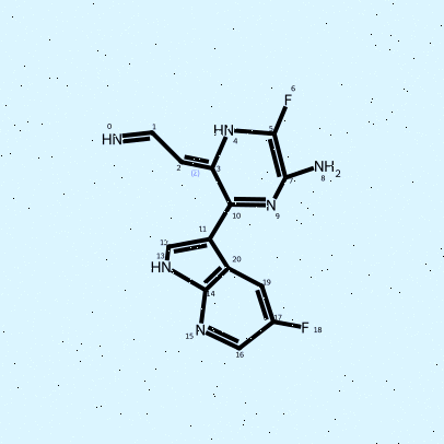 N=C/C=C1\NC(F)=C(N)N=C1c1c[nH]c2ncc(F)cc12